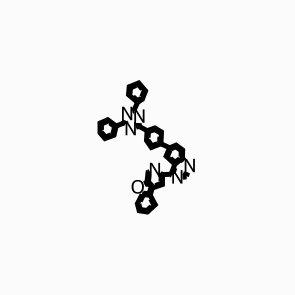 c1ccc(-c2nc(-c3ccccc3)nc(-c3ccc(-c4ccc5ncnc(-c6cc7c(cn6)oc6ccccc67)c5c4)cc3)n2)cc1